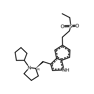 CCS(=O)(=O)CCc1ccc2[nH]cc(C[C@H]3CCCN3C3CCCC3)c2c1